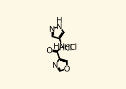 Cl.Cl.O=C(Nc1cn[nH]c1)c1cocn1